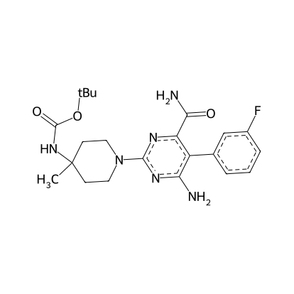 CC1(NC(=O)OC(C)(C)C)CCN(c2nc(N)c(-c3cccc(F)c3)c(C(N)=O)n2)CC1